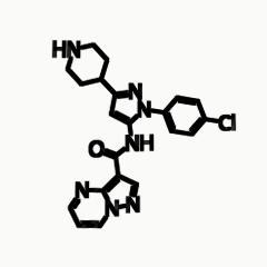 O=C(Nc1cc(C2CCNCC2)nn1-c1ccc(Cl)cc1)c1cnn2cccnc12